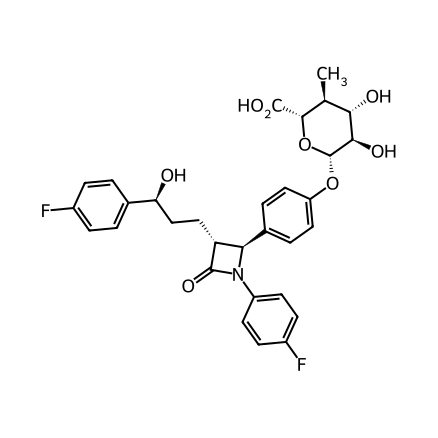 C[C@H]1[C@H](O)[C@@H](O)[C@H](Oc2ccc([C@@H]3[C@@H](CC[C@H](O)c4ccc(F)cc4)C(=O)N3c3ccc(F)cc3)cc2)O[C@@H]1C(=O)O